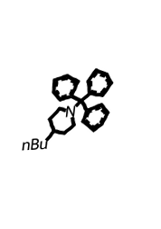 CCCCC1CCN(C(c2ccccc2)(c2ccccc2)c2ccccc2)CC1